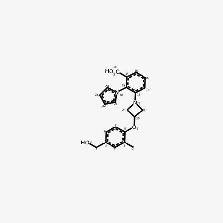 Cc1cc(CO)ccc1OC1CN(c2cccc(C(=O)O)c2-n2cccc2)C1